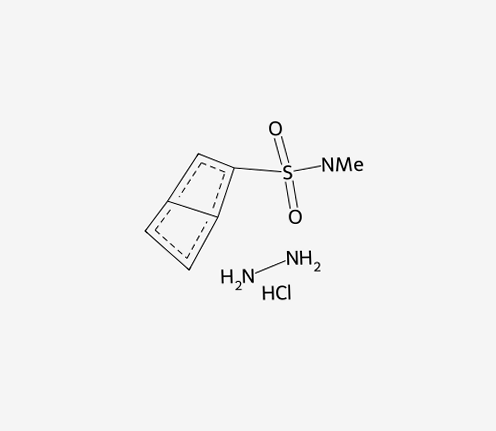 CNS(=O)(=O)c1cc2ccc1-2.Cl.NN